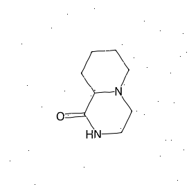 O=C1NCCN2CCCC[C]12